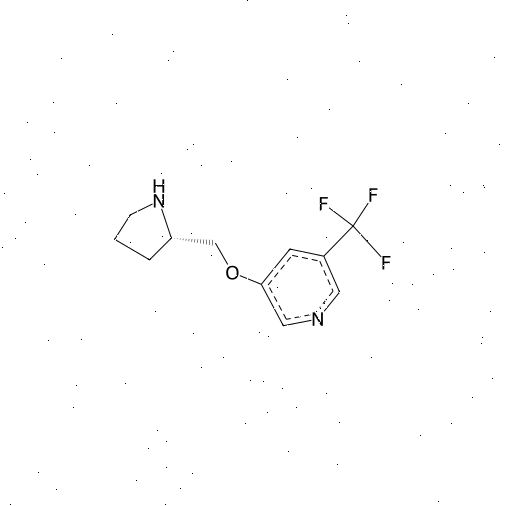 FC(F)(F)c1cncc(OC[C@@H]2CCCN2)c1